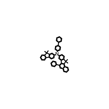 CC1(C)c2ccccc2-c2ccc(N(c3ccc(-c4ccccc4)cc3)c3ccc4c(c3)-c3c(-c5ccccc5)cc5ccccc5c3C4(C)C)cc21